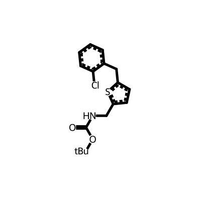 CC(C)(C)OC(=O)NCc1ccc(Cc2ccccc2Cl)s1